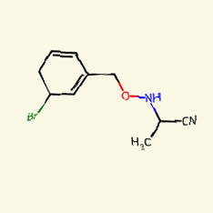 CC(C#N)NOCC1=CC(Br)CC=C1